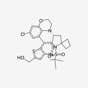 CC(C)(C)S(=O)(=O)N1C[C@H](N2CCOc3cc(Cl)cc(-c4ccnc5cc(CO)sc45)c32)CC12CCC2